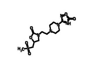 CS(=O)(=O)CC1CN(CCN2CCN(c3noc(=O)[nH]3)CC2)C(=O)O1